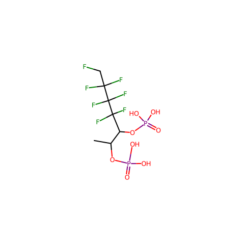 CC(OP(=O)(O)O)C(OP(=O)(O)O)C(F)(F)C(F)(F)C(F)(F)CF